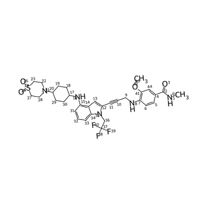 CNC(=O)c1ccc(NCC#Cc2cc3c(NC4CCC(N5CCS(=O)(=O)CC5)CC4)cccc3n2CC(F)(F)F)c(OC)c1